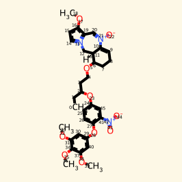 CCC(CCOC1CCC=C2[C@@H]1Cn1ccc(OC)c1C=[N+]2[O-])Oc1ccc(Oc2cc(OC)c(OC)c(OC)c2)c([N+](=O)[O-])c1